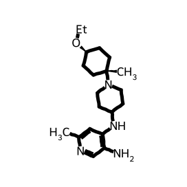 CCO[C@H]1CC[C@](C)(N2CCC(Nc3cc(C)ncc3N)CC2)CC1